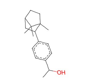 CC(O)c1ccc(C2CC3CCC2(C)C3(C)C)cc1